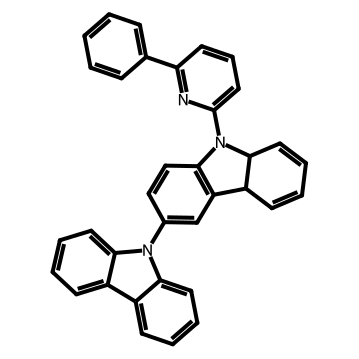 C1=CC2c3cc(-n4c5ccccc5c5ccccc54)ccc3N(c3cccc(-c4ccccc4)n3)C2C=C1